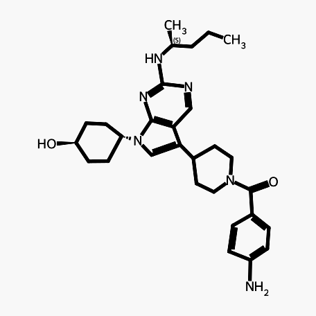 CCC[C@H](C)Nc1ncc2c(C3CCN(C(=O)c4ccc(N)cc4)CC3)cn([C@H]3CC[C@H](O)CC3)c2n1